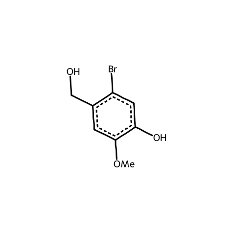 COc1cc(CO)c(Br)cc1O